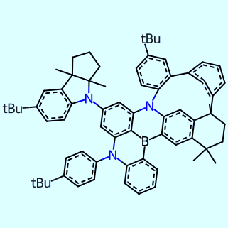 CC(C)(C)c1ccc(N2c3ccccc3B3c4cc5c6cc4N(c4ccc(C(C)(C)C)cc4-c4cccc(c4)C6(C)CCC5(C)C)c4cc(N5c6ccc(C(C)(C)C)cc6C6(C)CCCC56C)cc2c43)cc1